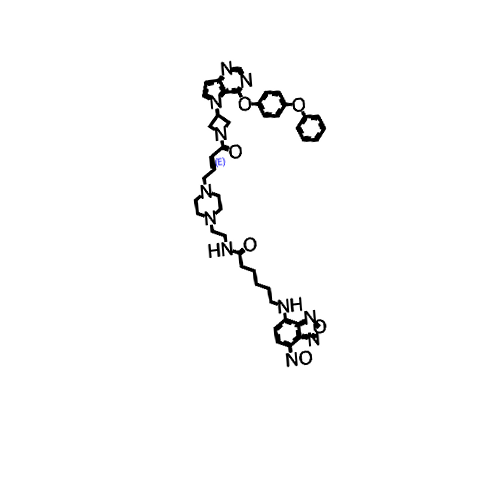 O=Nc1ccc(NCCCCCC(=O)NCCN2CCN(C/C=C/C(=O)N3CC(n4ccc5ncnc(Oc6ccc(Oc7ccccc7)cc6)c54)C3)CC2)c2nonc12